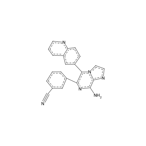 N#Cc1cccc(-c2nc(N)c3nccn3c2-c2ccc3ncccc3c2)c1